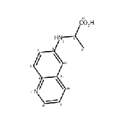 CC(Nc1ccc2ncccc2c1)C(=O)O